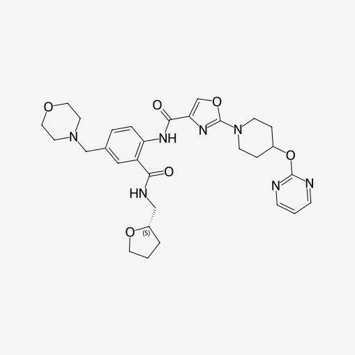 O=C(Nc1ccc(CN2CCOCC2)cc1C(=O)NC[C@@H]1CCCO1)c1coc(N2CCC(Oc3ncccn3)CC2)n1